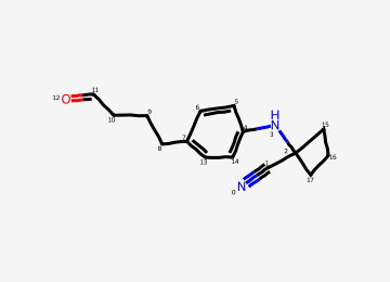 N#CC1(Nc2ccc(CCCC=O)cc2)CCC1